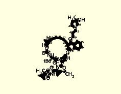 C=C[C@@H]1C[C@]1(NC(=O)[C@@H]1C[C@@H]2CN1C(=O)[C@H](C(C)(C)C)NC(=O)O[C@@H]1C[C@H]1CCCCCc1c(nc3ccccc3c1OCCCN1CCC(C)(O)C1)O2)C(=O)NS(=O)(=O)C1(C)CC1